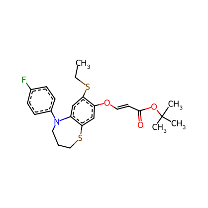 CCSc1cc2c(cc1O/C=C/C(=O)OC(C)(C)C)SCCCN2c1ccc(F)cc1